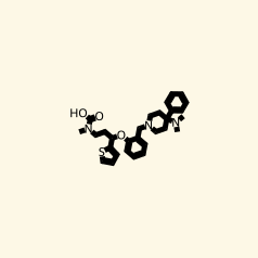 CN(CCC(Oc1ccccc1CN1CCC(c2ccccc2)(N(C)C)CC1)c1cccs1)C(=O)O